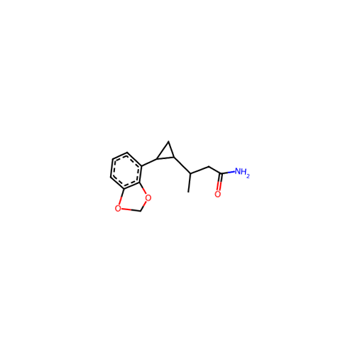 CC(CC(N)=O)C1CC1c1cccc2c1OCO2